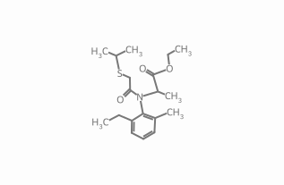 CCOC(=O)C(C)N(C(=O)CSC(C)C)c1c(C)cccc1CC